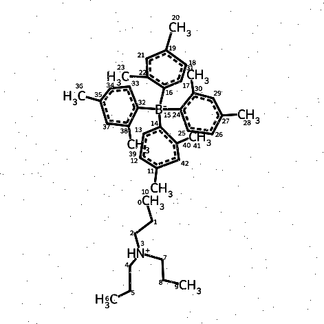 CCC[NH+](CCC)CCC.Cc1ccc([B-](c2ccc(C)cc2C)(c2ccc(C)cc2C)c2ccc(C)cc2C)c(C)c1